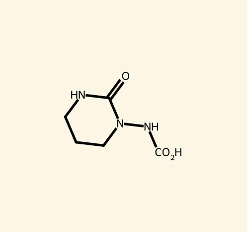 O=C(O)NN1CCCNC1=O